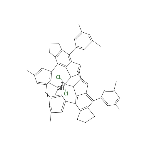 CC1=Cc2c(-c3cc(C)cc(C)c3)c3c(c(-c4cc(C)cc(C)c4)c2[CH]1[Zr]([Cl])([Cl])([CH]1C(C)=Cc2c(-c4cc(C)cc(C)c4)c4c(c(-c5cc(C)cc(C)c5)c21)CCC4)[SiH](C)C)CCC3